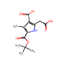 Cc1c(C(=O)OC(C)(C)C)[nH]c(CC(=O)O)c1C(=O)O